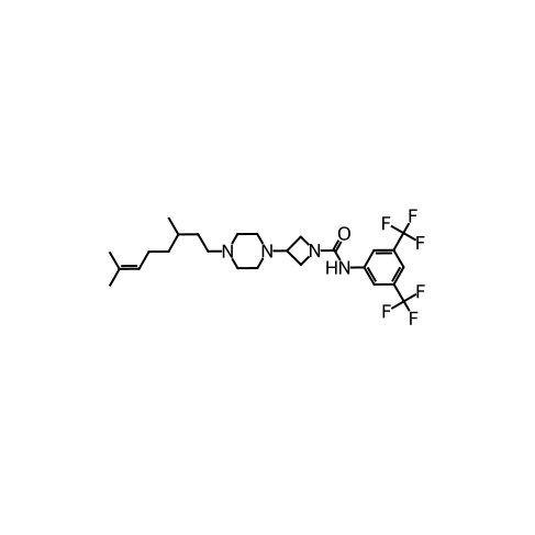 CC(C)=CCCC(C)CCN1CCN(C2CN(C(=O)Nc3cc(C(F)(F)F)cc(C(F)(F)F)c3)C2)CC1